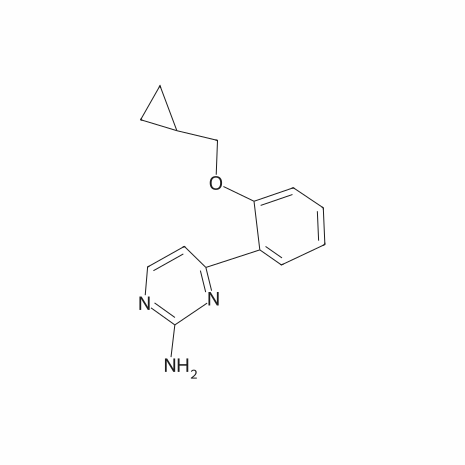 Nc1nccc(-c2ccccc2OCC2CC2)n1